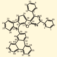 c1ccc(-c2nc(-c3ccccc3)c3c(n2)oc2c3ccc3c4ccccc4n(-c4ccc5c6ccccc6c6ccccc6c5c4)c32)cc1